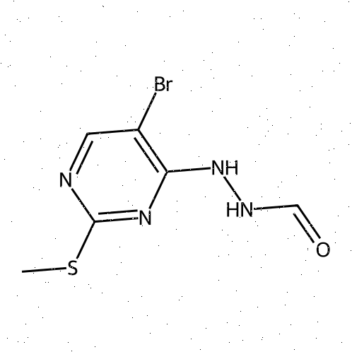 CSc1ncc(Br)c(NNC=O)n1